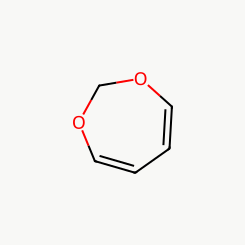 C1=COCOC=C1